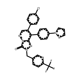 O=c1n(Cc2ccc(C(F)(F)F)nc2)nc2c(-c3ccc(-n4cccn4)cc3)c(-c3ccc(Cl)cc3)cnn12